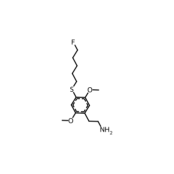 COc1cc(SCCCCCF)c(OC)cc1CCN